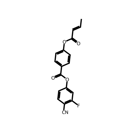 CC=CC(=O)Oc1ccc(C(=O)Oc2ccc(C#N)c(F)c2)cc1